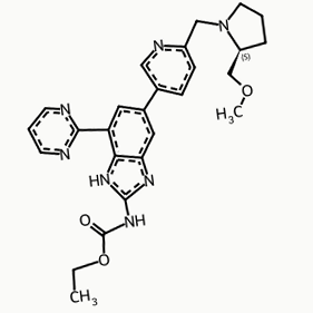 CCOC(=O)Nc1nc2cc(-c3ccc(CN4CCC[C@H]4COC)nc3)cc(-c3ncccn3)c2[nH]1